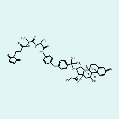 C[C@H](NC(=O)CCN1C(=O)C=CC1=O)C(=O)N[C@@H](C)C(=O)Nc1ccc(Sc2ccc([C@](C)(O)O[C@@H]3C[C@H]4[C@@H]5CCC6=CC(=O)C=C[C@]6(C)[C@H]5[C@@H](O)C[C@]4(C)[C@H]3C(=O)CO)cc2)cc1